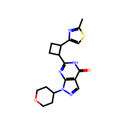 Cc1nc(C2CCC2c2nc3c(cnn3C3CCOCC3)c(=O)[nH]2)cs1